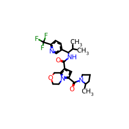 CC(C)C(NC(=O)c1cc(C(=O)N2CCCC2C)n2c1COCC2)c1ccc(C(F)(F)F)nc1